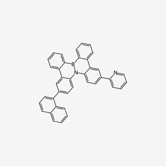 c1ccc(-c2ccc3c(c2)-c2ccccc2B2c4ccccc4-c4cc(-c5cccc6ccccc56)ccc4N23)nc1